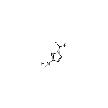 Nc1ccn(C(F)F)n1